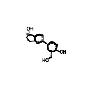 OCc1cc(-c2ccc3c(c2)CC[C@@H]3O)ccc1O